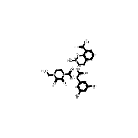 CCN1CCN(C(=O)N[C@H](C(=O)N[C@H]2Cc3cccc(C(=O)O)c3OB2O)c2cc(O)cc(O)c2)C(=O)C1=O